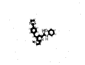 Cn1ccc2nc(C(=O)N[C@H]3CCCC[C@@H]3O)cc(Cc3ccc(-c4nccs4)cc3)c21